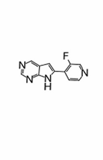 Fc1cnccc1-c1cc2cncnc2[nH]1